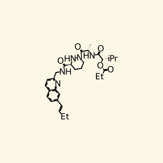 CC/C=C/c1ccc2ccc(CNC(=O)[C@@H]3CCCN(C(=O)[C@H](C)NC(=O)[C@@H](OC(=O)CC)C(C)C)N3)nc2c1